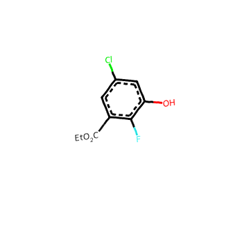 CCOC(=O)c1cc(Cl)cc(O)c1F